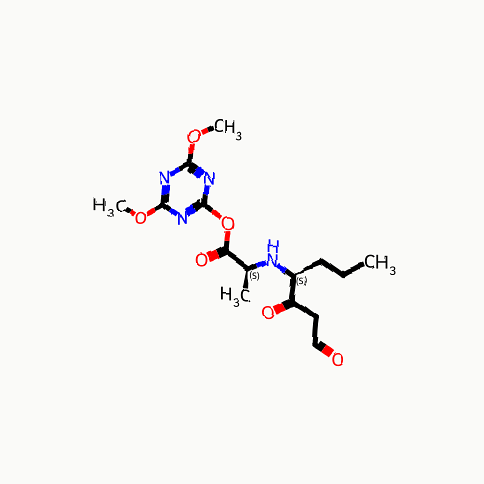 CCC[C@H](N[C@@H](C)C(=O)Oc1nc(OC)nc(OC)n1)C(=O)CC=O